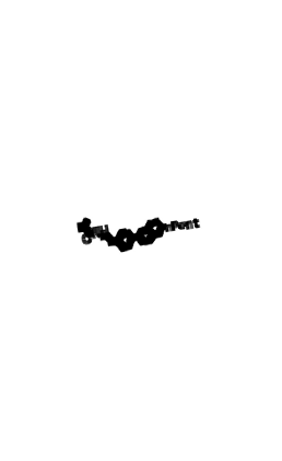 C=C(C)C(=O)NCCCc1ccc(-c2ccc3cc(CCCCC)ccc3c2)cc1